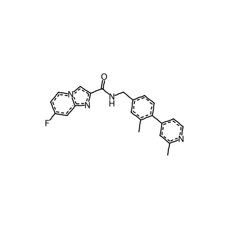 Cc1cc(-c2ccc(CNC(=O)c3cn4ccc(F)cc4n3)cc2C)ccn1